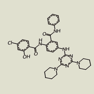 O=C(Nc1ccc(Nc2nc(N3CCCCC3)nc(N3CCCCC3)n2)cc1C(=O)Nc1ccccc1)c1ccc(Cl)cc1O